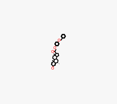 C[C@H]1CC2C(CCC3(C)C(C(=O)COc4ccc(OCc5ccccc5)cc4)CCC23)C2(C)C=CC(=O)C=C12